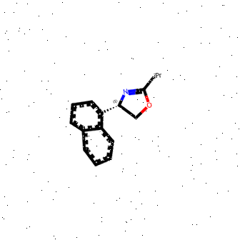 CC(C)C1=N[C@@H](c2cccc3ccccc23)CO1